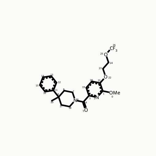 COc1nc(C(=O)N2CCC(C)(c3ccccc3)CC2)ccc1OCCOC(F)(F)F